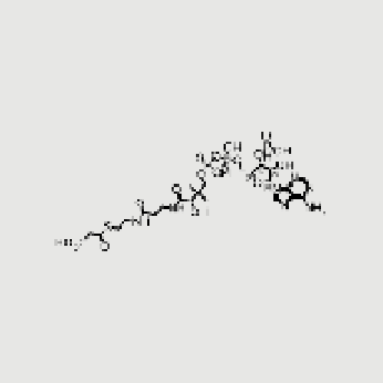 CC(C)(COP(=O)(O)OP(=O)(O)OC[C@H]1O[C@@H](n2cnc3c(N)ncnc32)[C@H](O)[C@@H]1O[PH](=O)O)C(O)C(=O)NCCC(=O)NCCSC(=O)CC(=O)O